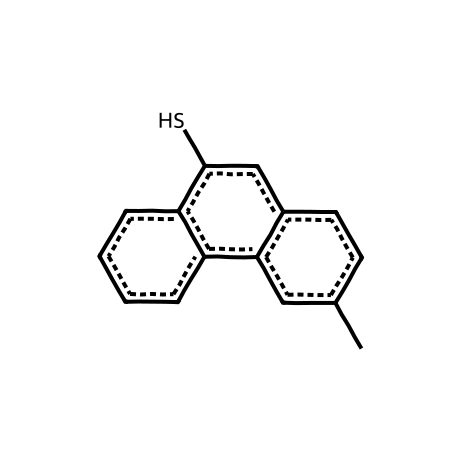 Cc1ccc2cc(S)c3ccccc3c2c1